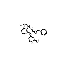 O=C(OCc1ccccc1)N(c1ccnc(Cl)c1)c1cccc2[nH]cnc12